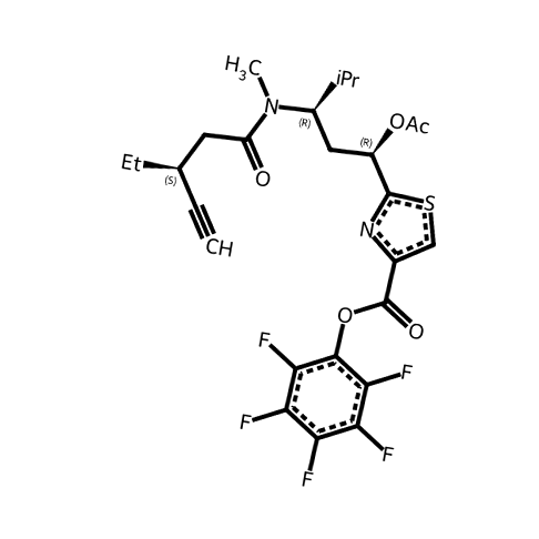 C#C[C@@H](CC)CC(=O)N(C)[C@H](C[C@@H](OC(C)=O)c1nc(C(=O)Oc2c(F)c(F)c(F)c(F)c2F)cs1)C(C)C